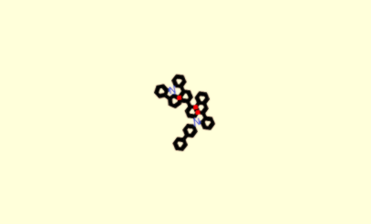 c1ccc(-c2ccc(N(c3ccc(-c4ccc(-c5ccccc5-n5c6ccccc6c6ccccc65)cc4)cc3)c3ccccc3-c3ccc4ccccc4c3)cc2)cc1